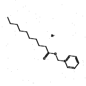 CCCCCCCCCC(=O)OC[n+]1ccccc1.[Br-]